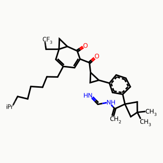 C=C(NC=N)C1(c2cccc(C3CC3C(=O)C3=CC(CCCCCCC(C)C)=CC4(CC(F)(F)F)CC4C3=O)c2)CC(C)(C)C1